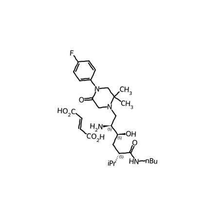 CCCCNC(=O)[C@@H](C[C@H](O)[C@@H](N)CN1CC(=O)N(c2ccc(F)cc2)CC1(C)C)C(C)C.O=C(O)C=CC(=O)O